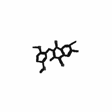 COc1ccc(OC)c(CC2=C(C)C(=O)c3cc(C)c(C)cc3C2=O)c1